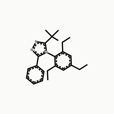 CCc1cc(CC)c(-n2c(-c3ccccc3)nnc2C(C)(C)C)c(CC)c1